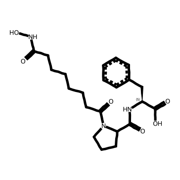 O=C(CCCCCCC(=O)N1CCCC1C(=O)N[C@@H](Cc1ccccc1)C(=O)O)NO